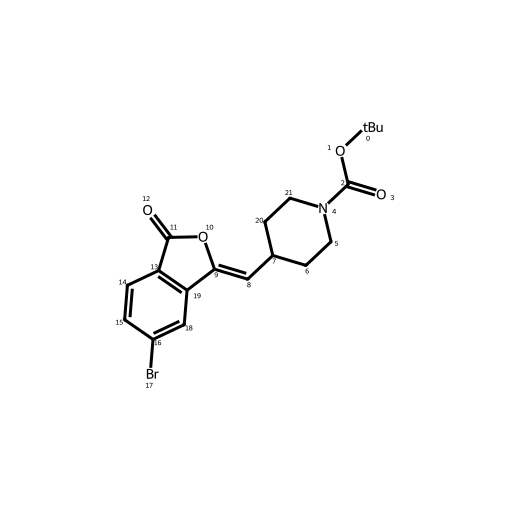 CC(C)(C)OC(=O)N1CCC(C=C2OC(=O)c3ccc(Br)cc32)CC1